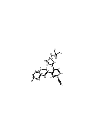 Cc1ccc2ccc(-c3nc(C#N)ccc3-c3cnn(CC(C)(C)C)c3)cc2n1